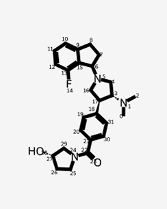 CN(C)[C@H]1CN(C2CCc3cccc(F)c32)C[C@@H]1c1ccc(C(=O)N2CC[C@H](O)C2)cc1